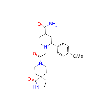 COc1ccc(C2CC(C(N)=O)CCN2CC(=O)N2CCC3(CCNC3=O)CC2)cc1